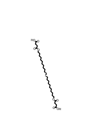 O=C(O)CCC(=O)OCCCCCCCCCCCSSCCCCCCCCCCCOC(=O)CCC(=O)O